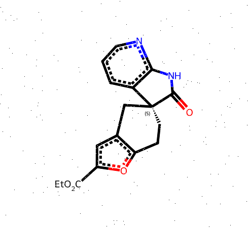 CCOC(=O)c1cc2c(o1)CC[C@@]1(C2)C(=O)Nc2ncccc21